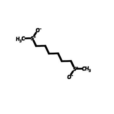 C[S+]([O-])CCCCCC[S+](C)[O-]